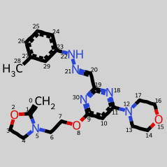 C=C1OCCN1CCOc1cc(N2CCOCC2)nc(/C=N/Nc2cccc(C)c2)n1